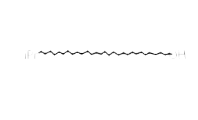 CC(C)CCCCCCCCCCCCCCCCCCCCCCCCCCCCCO